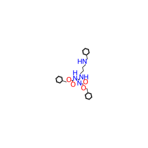 O=C(/N=C(\NCCCCNCc1ccccc1)NC(=O)OCc1ccccc1)OCc1ccccc1